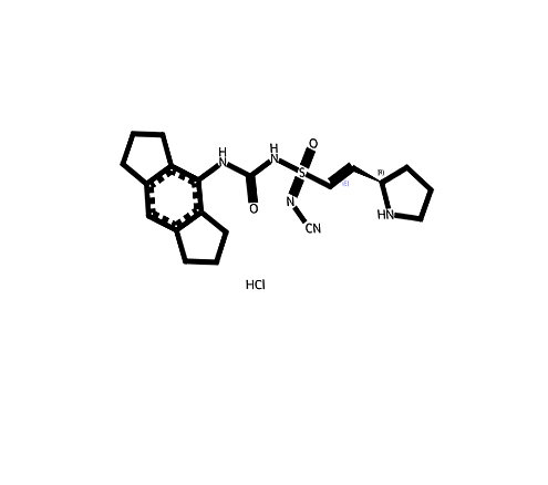 Cl.N#CN=S(=O)(/C=C/[C@H]1CCCN1)NC(=O)Nc1c2c(cc3c1CCC3)CCC2